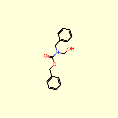 O=C(OCc1ccccc1)N(CO)Cc1ccccc1